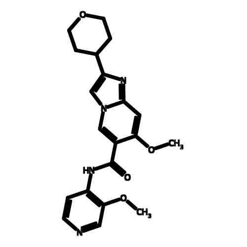 COc1cnccc1NC(=O)c1cn2cc(C3CCOCC3)nc2cc1OC